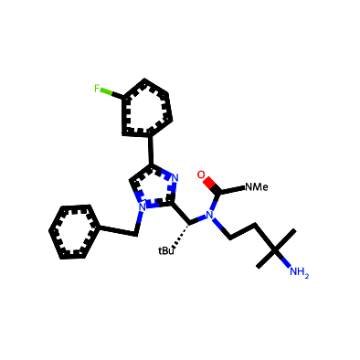 CNC(=O)N(CCC(C)(C)N)[C@@H](c1nc(-c2cccc(F)c2)cn1Cc1ccccc1)C(C)(C)C